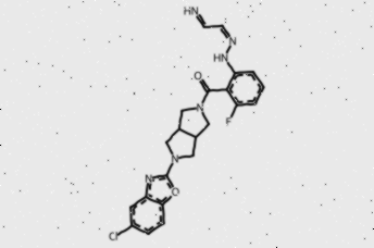 N=C/C=N\Nc1cccc(F)c1C(=O)N1CC2CN(c3nc4cc(Cl)ccc4o3)CC2C1